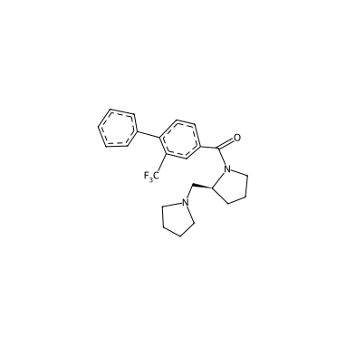 O=C(c1ccc(-c2ccccc2)c(C(F)(F)F)c1)N1CCC[C@H]1CN1CCCC1